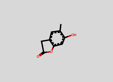 Cc1cc2c(cc1O)OC(=O)C2